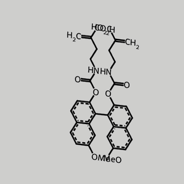 C=C(CCNC(=O)Oc1ccc2ccc(OC)cc2c1-c1c(OC(=O)NCCC(=C)C(=O)O)ccc2ccc(OC)cc12)C(=O)O